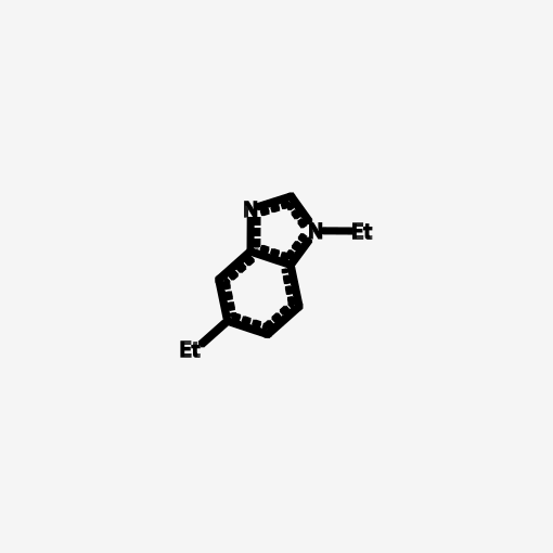 [CH2]Cn1cnc2cc(CC)ccc21